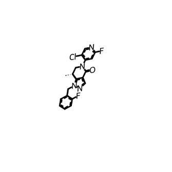 C[C@@H]1CN(c2cc(F)ncc2Cl)C(=O)c2cnn(Cc3ccccc3F)c21